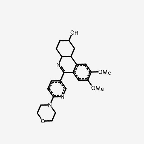 COc1cc2c(cc1OC)C1CC(O)CCC1N=C2c1ccc(N2CCOCC2)nc1